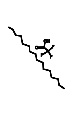 CCCCCCCCCCCCCCCC.O=C(O)C(F)(F)F